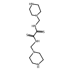 S=C(NCN1CCNCC1)C(=S)NCN1CCNCC1